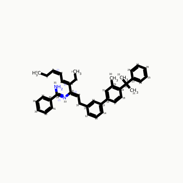 CC\C=C/C=C(CC)/C(=C/Cc1cccc(-c2ccc(C(C)(C)c3ccccc3)c(C)c2)c1)/N=C(\N)c1ccccc1